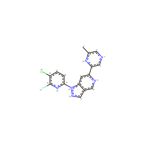 Cc1cncc(-c2cc3c(cn2)cnn3-c2ccc(Cl)c(F)n2)n1